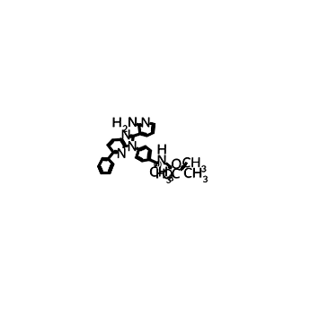 C[C@H](NC(=O)OC(C)(C)C)c1ccc(-n2c(-c3cccnc3N)nc3ccc(-c4ccccc4)nc32)cc1